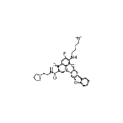 CN(C)CCCCNc1c(F)cc2c(=O)c(C(=O)NCCN3CCCC3)cn3c2c1Oc1cc2c(cc1-3)oc1ccccc12